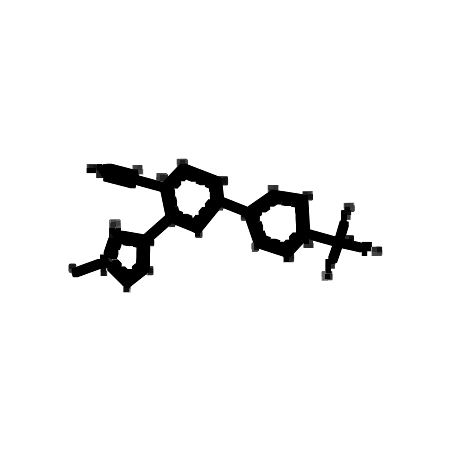 Cn1ccc(-c2cc(-c3ccc(C(F)(F)F)cc3)ccc2C#N)n1